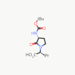 CC(C)[C@@H](C(=O)O)N1CC[C@@H](NC(=O)OC(C)(C)C)C1=O